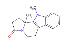 Cn1c2c(c3ccccc31)CCN1C(=O)CCC21C